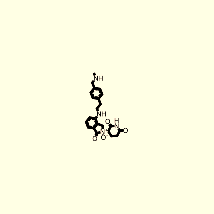 CNCc1ccc(CCNc2cccc3c2C[N+]([O-])(C2CCC(=O)NC2=O)C3=O)cc1